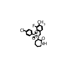 Cc1ccc(CN(C2CCCCNC2=O)S(=O)(=O)c2ccc(Cl)cc2)cc1F